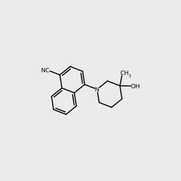 CC1(O)CCCN(c2ccc(C#N)c3ccccc23)C1